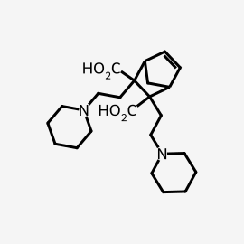 O=C(O)C1(CCN2CCCCC2)C2C=CC(C2)C1(CCN1CCCCC1)C(=O)O